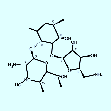 CC1C[C@@H](C)[C@@H](O)C(O[C@@H]2O[C@H](CN)C(O)[C@@H]2O)[C@@H]1O[C@@H](OC([C@H](C)O)[C@@H](C)O)[C@@H](N)CO